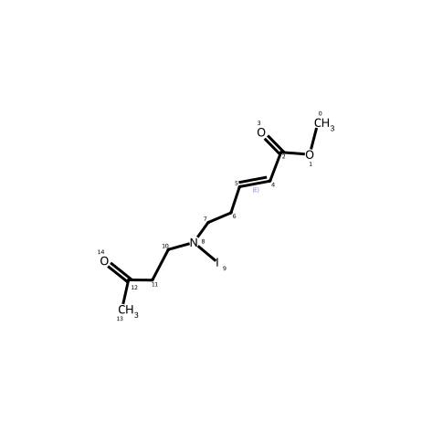 COC(=O)/C=C/CCN(I)CCC(C)=O